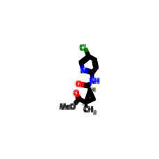 COC(=O)[C@@]1(C)C[C@H]1C(=O)Nc1ccc(Cl)cn1